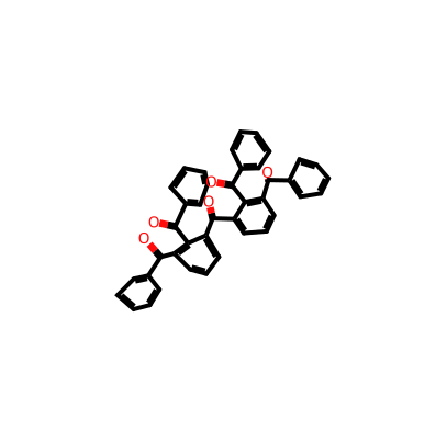 O=C(c1ccccc1)c1cccc(C(=O)c2cccc(C(=O)c3ccccc3)c2C(=O)c2ccccc2)c1C(=O)c1ccccc1